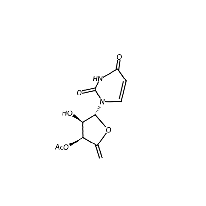 C=C1O[C@@H](n2ccc(=O)[nH]c2=O)[C@H](O)[C@@H]1OC(C)=O